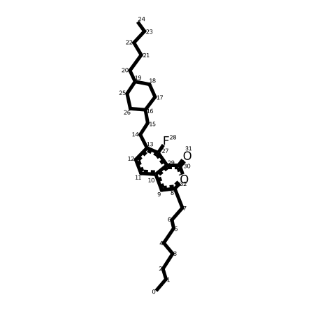 CCCCCCCCc1cc2ccc(CCC3CCC(CCCCC)CC3)c(F)c2c(=O)o1